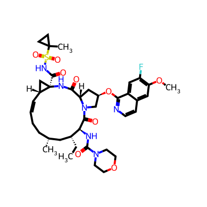 CC[C@@H]1C[C@H](C)CC/C=C\[C@@H]2C[C@@]2(C(=O)NS(=O)(=O)C2(C)CC2)NC(=O)[C@@H]2C[C@@H](Oc3nccc4cc(OC)c(F)cc34)CN2C(=O)[C@H]1NC(=O)N1CCOCC1